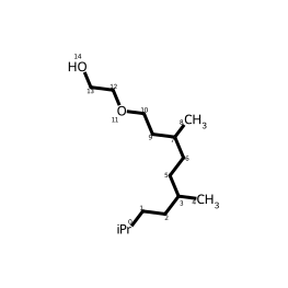 CC(C)CCC(C)CCC(C)CCOCCO